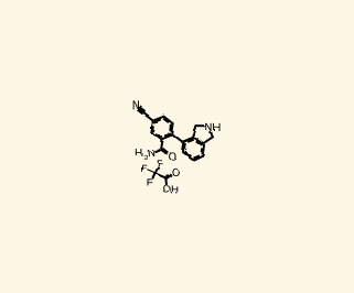 N#Cc1ccc(-c2cccc3c2CNC3)c(C(N)=O)c1.O=C(O)C(F)(F)F